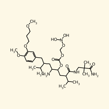 COCCCOc1cc(CC(CC(N)C(CC(C(=O)NCC(C)(C)C(N)=O)C(C)C)OC(=O)OCON(O)O)C(C)C)ccc1OC